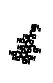 NOCC(=O)N[C@@H]1OC(CO)[C@@H](O[C@@H]2OC(CO)[C@H](O)[C@H](O)C2O)[C@H](O)C1O